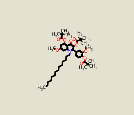 CCCCCCCCCCCCCCn1c(-c2ccc(OC(=O)C(C)(C)C)c(OC)c2)c(OC(=O)C(C)(C)C)c(=O)c2c(OC(=O)C(C)(C)C)cc(OC)cc21